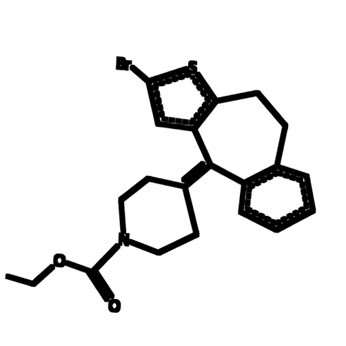 CCOC(=O)N1CCC(=C2c3ccccc3CCc3sc(Br)cc32)CC1